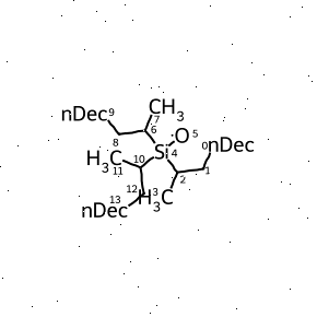 CCCCCCCCCCCC(C)[Si]([O])(C(C)CCCCCCCCCCC)C(C)CCCCCCCCCCC